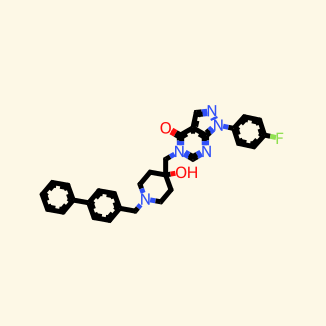 O=c1c2cnn(-c3ccc(F)cc3)c2ncn1CC1(O)CCN(Cc2ccc(-c3ccccc3)cc2)CC1